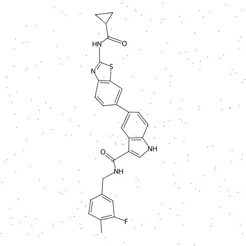 Cc1ccc(CNC(=O)c2c[nH]c3ccc(-c4ccc5nc(NC(=O)C6CC6)sc5c4)cc23)cc1F